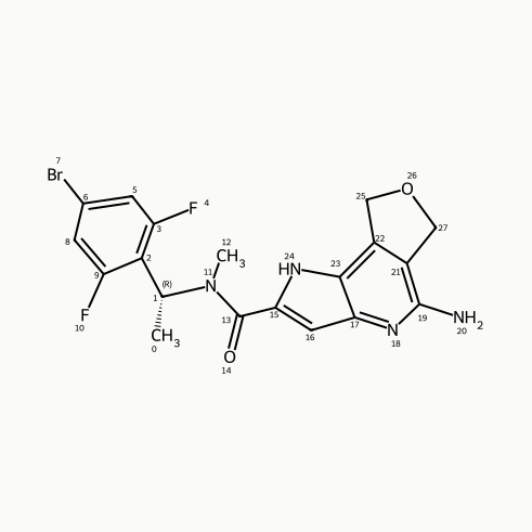 C[C@H](c1c(F)cc(Br)cc1F)N(C)C(=O)c1cc2nc(N)c3c(c2[nH]1)COC3